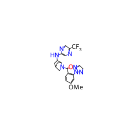 COc1ccc(C(=O)N2CC3CC(Nc4cnc(C(F)(F)F)cn4)C2C3)c(-n2nccn2)c1